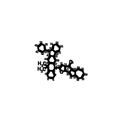 CC1(C)c2ccccc2N(c2cc3c(o2)-c2cc4cccccc-4c2C3=O)c2cc3c4ccccc4n(-c4ccccc4)c3cc21